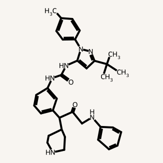 Cc1ccc(-n2nc(C(C)(C)C)cc2NC(=O)Nc2cccc(C(C(=O)CNc3ccccc3)C3CCNCC3)c2)cc1